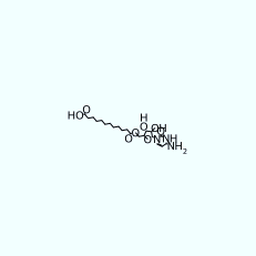 NC1C=CN(C2OC(COC(=O)CCCCCCCCCCC(=O)O)C(O)C2O)C(=O)N1